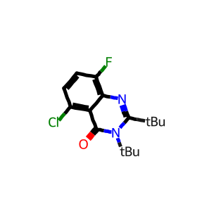 CC(C)(C)c1nc2c(F)ccc(Cl)c2c(=O)n1C(C)(C)C